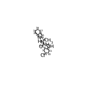 C/C(=N\NC(=O)c1cc(Cl)ccc1O)c1cc2ccccc2[nH]1